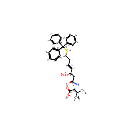 CC(C)[C@@H](NC(=O)CC(O)/C=C/CCSC(c1ccccc1)(c1ccccc1)c1ccccc1)C(=O)O